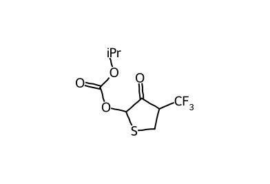 CC(C)OC(=O)OC1SCC(C(F)(F)F)C1=O